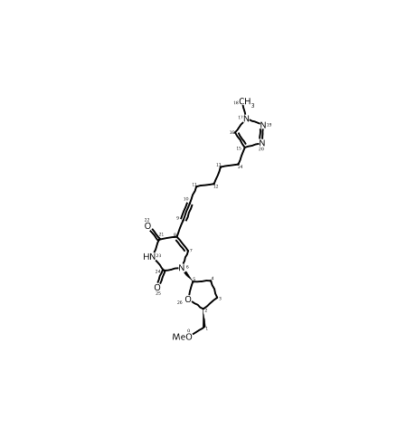 COC[C@@H]1CC[C@H](n2cc(C#CCCCCc3cn(C)nn3)c(=O)[nH]c2=O)O1